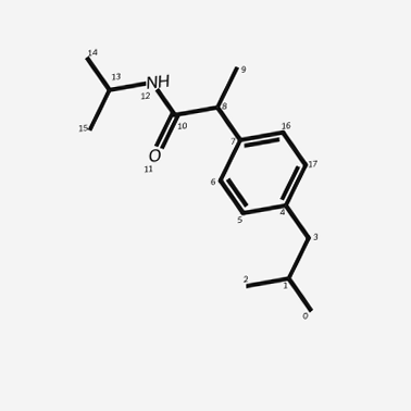 CC(C)Cc1ccc(C(C)C(=O)NC(C)C)cc1